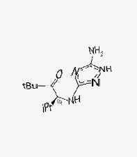 CC(C)[C@H](Nc1n[nH]c(N)n1)C(=O)C(C)(C)C